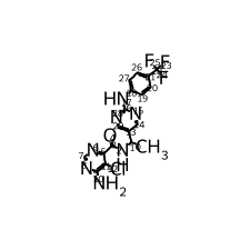 CC(NC(=O)c1ncnc(N)c1Cl)c1cnc(Nc2ccc(C(F)(F)F)cc2)nc1